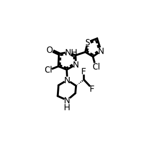 O=c1[nH]c(-c2scnc2Cl)nc(N2CCNC[C@H]2C(F)F)c1Cl